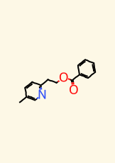 Cc1ccc(CCOC(=O)c2ccccc2)nc1